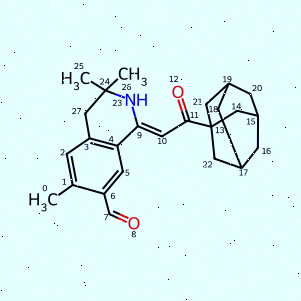 Cc1cc2c(cc1C=O)/C(=C/C(=O)C13CC4CC(CC(C4)C1)C3)NC(C)(C)C2